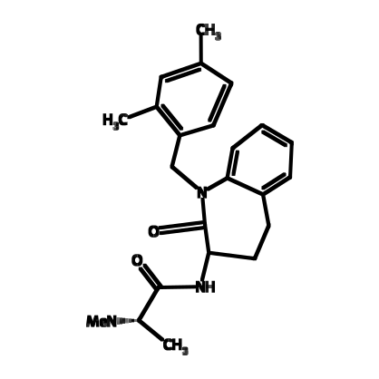 CN[C@@H](C)C(=O)NC1CCc2ccccc2N(Cc2ccc(C)cc2C)C1=O